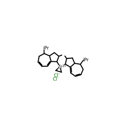 CC(C)C1CC=CC=C2C1CC(C)[CH]2[Zr+2]1([CH]2C3=CC=CCC(C(C)C)C3CC2C)[CH2][CH2]1.[Cl-].[Cl-]